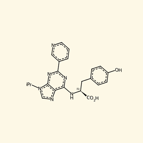 CC(C)n1cnc2c(N[C@@H](Cc3ccc(O)cc3)C(=O)O)nc(-c3cccnc3)nc21